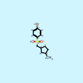 CC1CCC(CS(=O)(=O)c2ccc(Br)cc2)C1